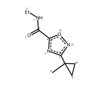 CCNC(=O)c1nc(C2(C)CC2)no1